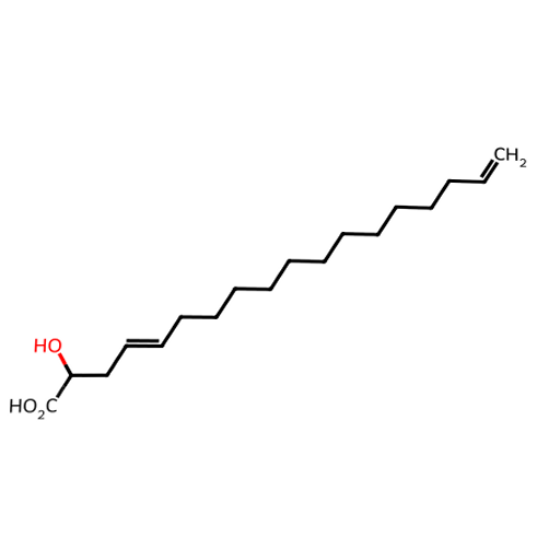 C=CCCCCCCCCCCCC=CCC(O)C(=O)O